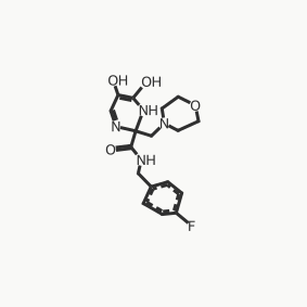 O=C(NCc1ccc(F)cc1)C1(CN2CCOCC2)N=CC(O)=C(O)N1